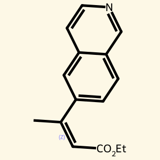 CCOC(=O)/C=C(/C)c1ccc2cnccc2c1